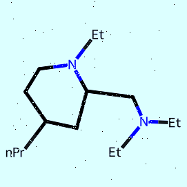 CCCC1CCN(CC)C(CN(CC)CC)C1